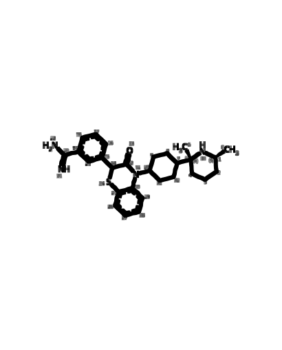 C[C@H]1CCC[C@](C)(C2CCC(N3C(=O)C(c4cccc(C(=N)N)c4)Sc4ccccc43)CC2)N1